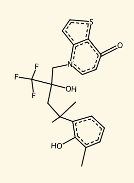 Cc1cccc(C(C)(C)CC(O)(Cn2ccc(=O)c3sccc32)C(F)(F)F)c1O